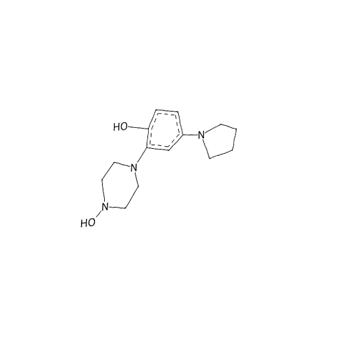 Oc1ccc(N2CCCC2)cc1N1CCN(O)CC1